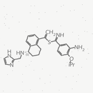 C=C(SC(=N)c1ccc(OC(C)C)c(N)c1)c1cccc2c1CCC[C@@H]2NCc1ncc[nH]1